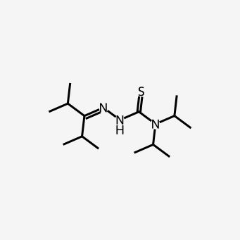 CC(C)C(=NNC(=S)N(C(C)C)C(C)C)C(C)C